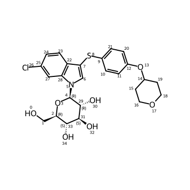 OC[C@H]1O[C@@H](n2cc(Sc3ccc(OC4CCOCC4)cc3)c3ccc(Cl)cc32)[C@H](O)[C@@H](O)[C@@H]1O